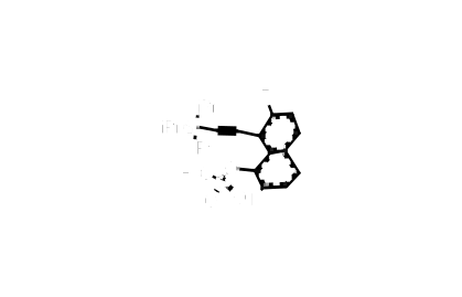 CC(C)[Si](C#Cc1c(F)ccc2ccc(F)c(OS(=O)(=O)C(F)(F)F)c12)(C(C)C)C(C)C